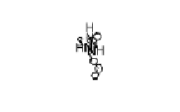 c1ccc(Oc2ccc(CNNC3=Nc4ccccc4NC34CCSCC4)cc2)cc1